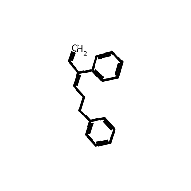 C=CC(=CCCc1ccccc1)c1ccccc1